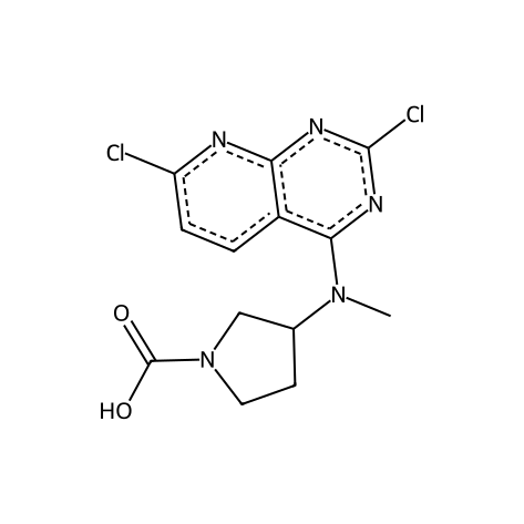 CN(c1nc(Cl)nc2nc(Cl)ccc12)C1CCN(C(=O)O)C1